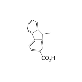 CC1c2ccccc2-c2ccc(C(=O)O)cc21